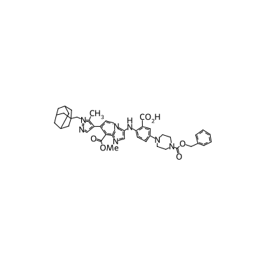 COC(=O)c1c(-c2cnn(CC34CC5CC(CC(C5)C3)C4)c2C)ccn2c(Nc3ccc(N4CCN(C(=O)OCc5ccccc5)CC4)cc3C(=O)O)cnc12